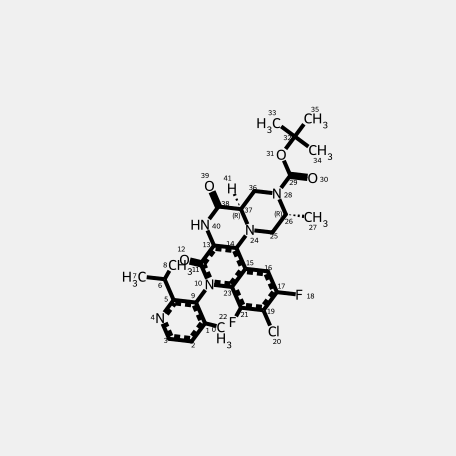 Cc1ccnc(C(C)C)c1-n1c(=O)c2c(c3cc(F)c(Cl)c(F)c31)N1C[C@@H](C)N(C(=O)OC(C)(C)C)C[C@@H]1C(=O)N2